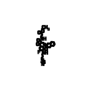 CCOC(=O)CCNC(=O)c1cn2c3c(c(NCCCn4ccnc4)c(F)cc3c1=O)Oc1cc3ccccc3cc1-2